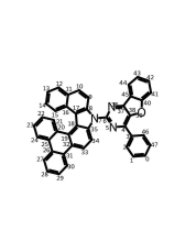 c1ccc(-c2nc(-n3c4ccc5ccccc5c4c4c5c6ccccc6c6ccccc6c5ccc43)nc3c2oc2ccccc23)cc1